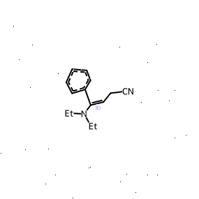 CCN(CC)/C(=C/CC#N)c1ccccc1